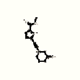 COC(=O)c1ccc(C#CN2CCCC(=O)C2)s1